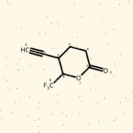 C#CC1CCC(=O)OC1C(F)(F)F